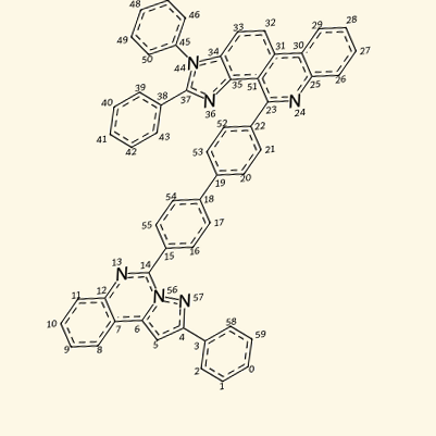 c1ccc(-c2cc3c4ccccc4nc(-c4ccc(-c5ccc(-c6nc7ccccc7c7ccc8c(nc(-c9ccccc9)n8-c8ccccc8)c67)cc5)cc4)n3n2)cc1